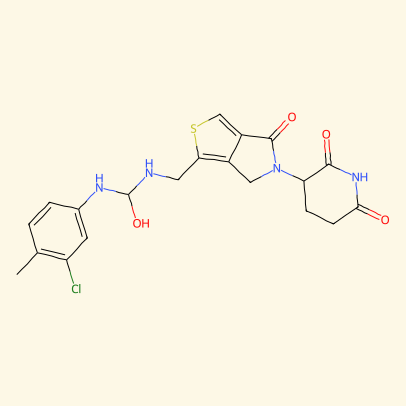 Cc1ccc(NC(O)NCc2scc3c2CN(C2CCC(=O)NC2=O)C3=O)cc1Cl